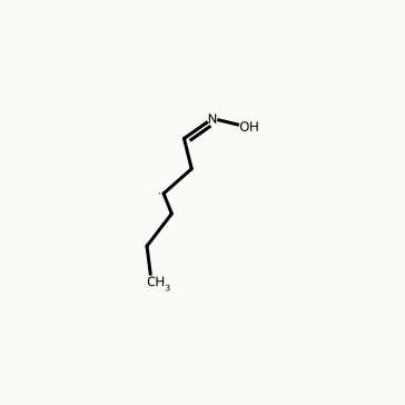 CCC[CH]C/C=N\O